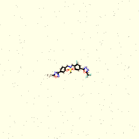 CS(=O)(=O)N(Cc1ccc(-c2noc(C(F)(F)F)n2)cc1)Cc1ccc(-c2nnc(C(F)F)o2)cc1F